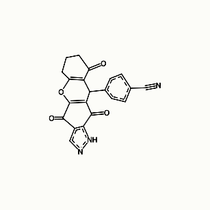 N#Cc1ccc(C2C3=C(CCCC3=O)OC3=C2C(=O)c2[nH]ncc2C3=O)cc1